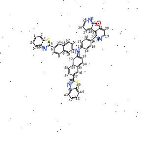 c1ccc2sc(-c3ccc4cc(N(c5ccc(-c6nccc7oc8ncccc8c67)cc5)c5ccc6cc(-c7nc8ccccc8s7)ccc6c5)ccc4c3)nc2c1